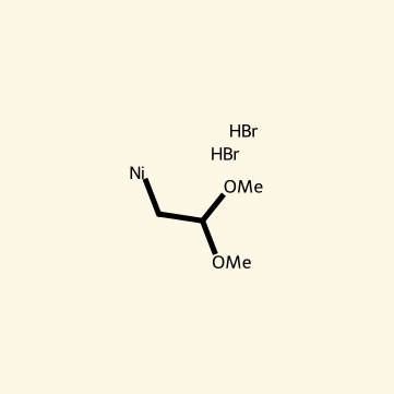 Br.Br.COC([CH2][Ni])OC